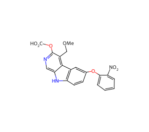 COCc1c(OC(=O)O)ncc2[nH]c3ccc(Oc4ccccc4[N+](=O)[O-])cc3c12